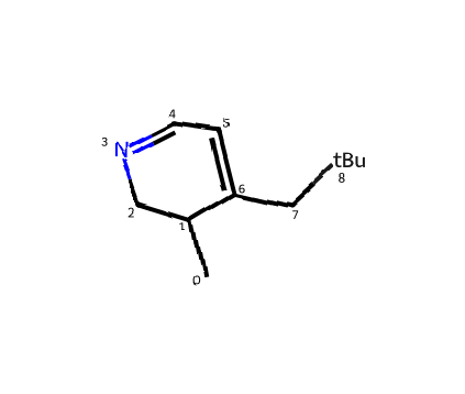 CC1CN=CC=C1CC(C)(C)C